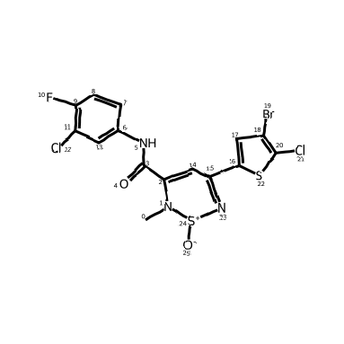 CN1C(C(=O)Nc2ccc(F)c(Cl)c2)=CC(c2cc(Br)c(Cl)s2)=N[S+]1[O-]